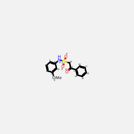 COc1cccc(NS(=O)(=O)CC(=O)c2ccccc2)c1